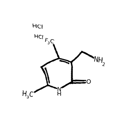 Cc1cc(C(F)(F)F)c(CN)c(=O)[nH]1.Cl.Cl